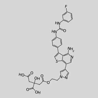 Nc1ncc(-c2cnn(CCOC(=O)CC(O)(CC(=O)O)C(=O)O)c2)c2scc(-c3ccc(NC(=O)Nc4cccc(F)c4)cc3)c12